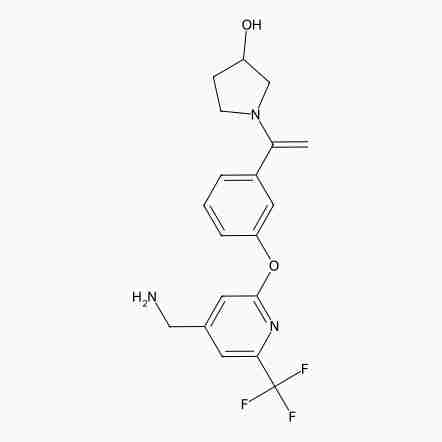 C=C(c1cccc(Oc2cc(CN)cc(C(F)(F)F)n2)c1)N1CCC(O)C1